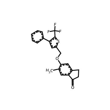 Cc1cc2c(cc1OCc1cc(-c3ccccc3)c(C(F)(F)F)s1)CCC2=O